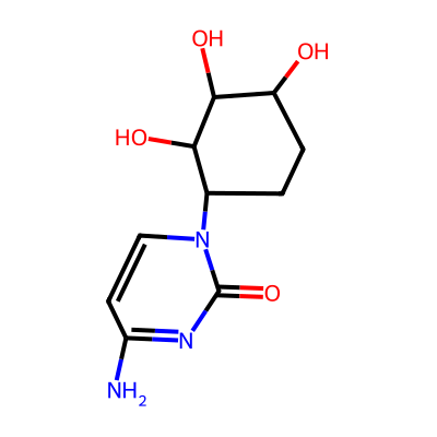 Nc1ccn(C2CCC(O)C(O)C2O)c(=O)n1